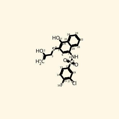 C=C(O)CSc1cc(NS(=O)(=O)c2ccc(F)c(Cl)c2)c2ccccc2c1O